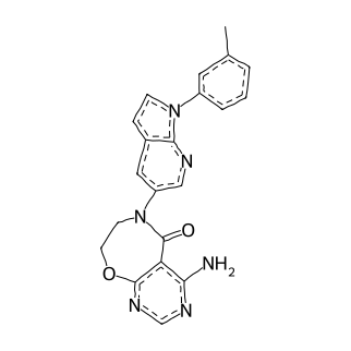 Cc1cccc(-n2ccc3cc(N4CCOc5ncnc(N)c5C4=O)cnc32)c1